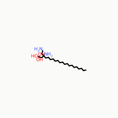 CCCCCCCCCCCCCCCCCCC(N)(CCN)CC(O)(O)O